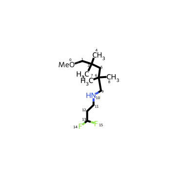 COCC(C)(C)CC(C)(C)CNCCC(F)F